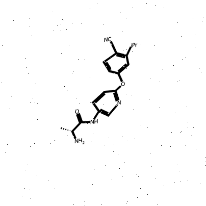 CC(C)c1cc(Oc2ccc(NC(=O)[C@@H](C)N)cn2)ccc1C#N